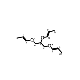 CC=COCC(COC=CC)OC=CC